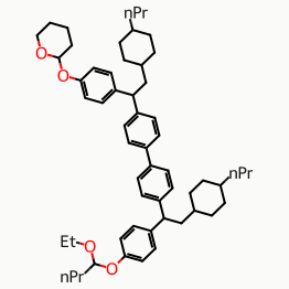 CCCC1CCC(CC(c2ccc(OC(CCC)OCC)cc2)c2ccc(-c3ccc(C(CC4CCC(CCC)CC4)c4ccc(OC5CCCCO5)cc4)cc3)cc2)CC1